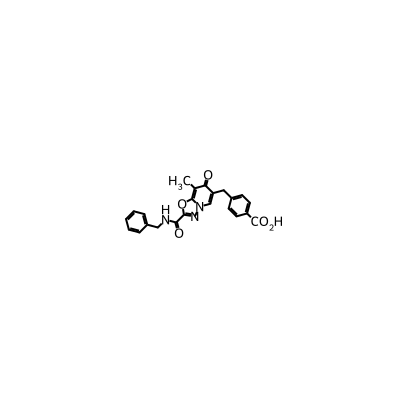 Cc1c(=O)c(Cc2ccc(C(=O)O)cc2)cn2nc(C(=O)NCc3ccccc3)oc12